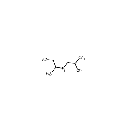 CC(O)CNC(C)CO